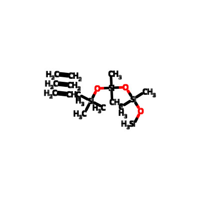 C=C.C=C.C=C.C[Si](C)(C)O[Si](C)(C)O[Si](C)(C)O[SiH3]